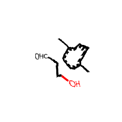 Cc1ccc(C)cc1.O=CCCO